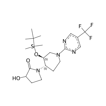 CC(C)(C)[Si](C)(C)O[C@H]1CN(c2ncc(C(F)(F)F)cn2)CC[C@@H]1N1CCC(O)C1=O